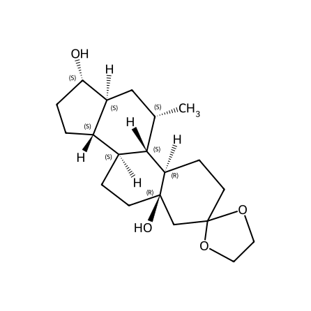 C[C@H]1C[C@H]2[C@@H](CC[C@@H]2O)[C@@H]2CC[C@@]3(O)CC4(CC[C@@H]3[C@H]21)OCCO4